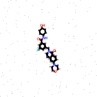 O=C(NC1CCC(O)CC1)c1cc(F)cc(Cn2ccc3cc(N4CCOCC4)ccc3c2=O)c1